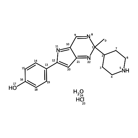 CC1(C2CCNCC2)N=CC2=NC(c3ccc(O)cc3)=CC2=N1.Cl.O